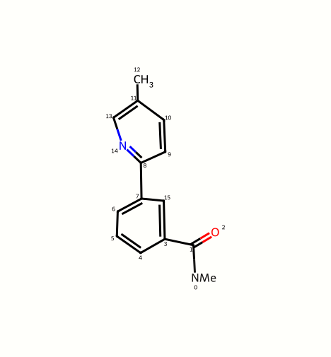 CNC(=O)c1cccc(-c2ccc(C)cn2)c1